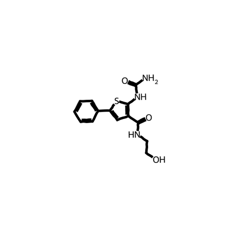 NC(=O)Nc1sc(-c2ccccc2)cc1C(=O)NCCO